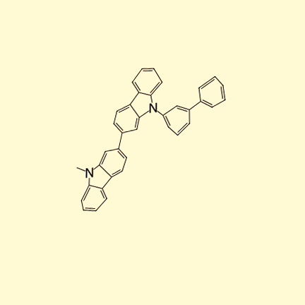 Cn1c2ccccc2c2ccc(-c3ccc4c5ccccc5n(-c5cccc(-c6ccccc6)c5)c4c3)cc21